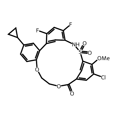 COc1c(Cl)cc2cc1S(=O)(=O)Nc1cc(c(F)cc1F)-c1cc(C3CC3)ccc1OCCOC2=O